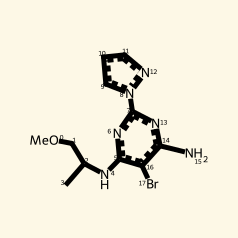 COCC(C)Nc1nc(-n2cccn2)nc(N)c1Br